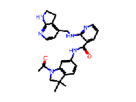 CC(=O)N1CC(C)(C)c2ccc(NC(=O)c3cccnc3NCc3ccnc4c3CCN4)cc21